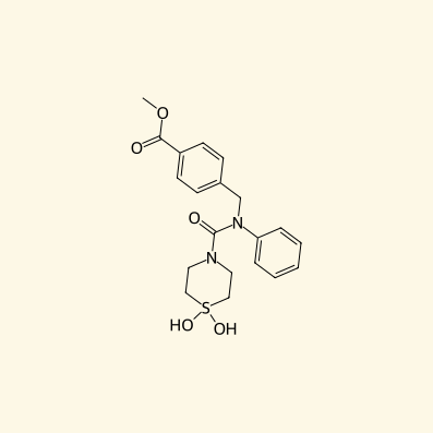 COC(=O)c1ccc(CN(C(=O)N2CCS(O)(O)CC2)c2ccccc2)cc1